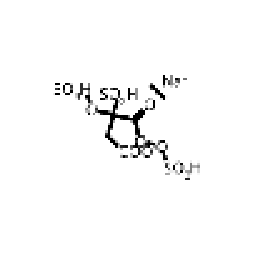 CC.O=C([O-])CC(OS(=O)(=O)O)(C(=O)OOS(=O)(=O)O)S(=O)(=O)O.[Na+]